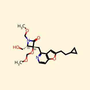 COCO[C@@]1(Cc2nccc3oc(CCC4CC4)cc23)C(=O)N(COC)[C@H]1CO